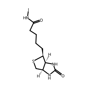 O=C(CCCC[C@@H]1SC[C@@H]2NC(=O)N[C@@H]21)NI